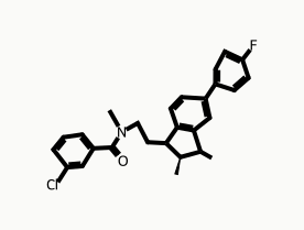 CC1c2cc(-c3ccc(F)cc3)ccc2C(CCN(C)C(=O)c2cccc(Cl)c2)[C@@H]1C